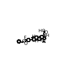 C=C(C)[C@@H]1CC[C@]2(NCC(=O)O)CC[C@]3(C)[C@H](CC[C@@H]4[C@@]5(C)CC=C(C6=CCC(CF)(C(=O)OCc7ccccc7)CC6)C(C)(C)[C@@H]5CC[C@]43C)[C@@H]12